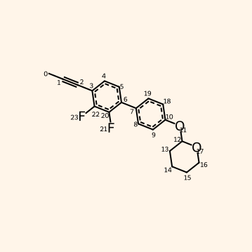 CC#Cc1ccc(-c2ccc(OC3CCCCO3)cc2)c(F)c1F